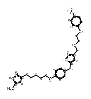 Cc1ccc(OCCOCc2cc(Cc3ccc(OCCCCCc4cc(C)on4)cc3)on2)cc1